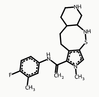 C=C(Nc1ccc(F)c(C)c1)c1c2c(cn1C)SNC1CNCCC1CC2